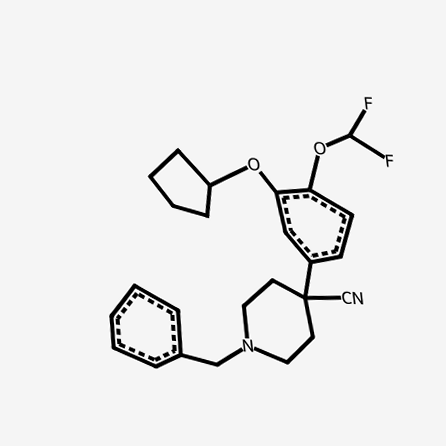 N#CC1(c2ccc(OC(F)F)c(OC3CCCC3)c2)CCN(Cc2ccccc2)CC1